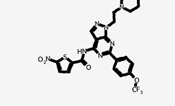 O=C(Nc1nc(-c2ccc(OC(F)(F)F)cc2)nc2c1cnn2CCN1CCOCC1)c1ccc([N+](=O)[O-])s1